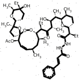 CC[C@@H](C(=O)[C@@H](C)[C@@H](O)[C@H](C)[C@@H]1O[C@@H]([C@@H](CC)C(=O)NNC(=O)/C=C/c2ccccc2)CC[C@@H]1C)[C@H]1OO[C@@]2(CC[C@@](C)([C@H]3CC[C@](O)(CC)[C@H](C)O3)O2)[C@H](OC(C)=O)/C=C\[C@H](C)C[C@@H]1C